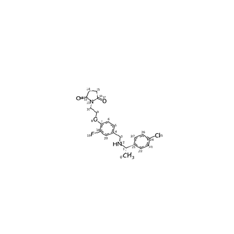 C[C@H](NCc1ccc(OCCN2C(=O)CCC2=O)c(F)c1)c1ccc(Cl)cc1